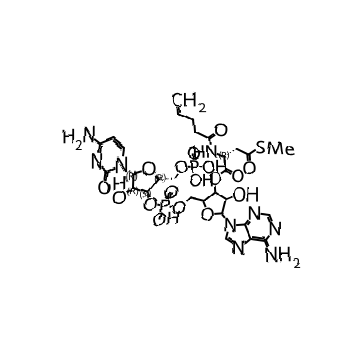 C=CCCC(=O)N[C@H](CC(=O)SC)C(=O)OC1C(COP(=O)(O)O[C@H]2[C@@H](O)[C@H](n3ccc(N)nc3=O)O[C@@H]2COP(=O)(O)O)OC(n2cnc3c(N)ncnc32)C1O